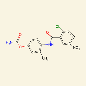 Cc1cc(OC(N)=O)ccc1NC(=O)c1cc([N+](=O)[O-])ccc1Cl